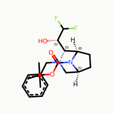 CC(C)(C)OC(=O)N1[C@H]2CC[C@@H]1[C@@H]([C@H](O)C(F)F)N(Cc1ccccc1)C2